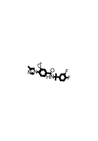 COc1cc(C(=O)NC(C)(C)c2ccc(F)c(F)c2)ccc1-n1cnc(C)c1